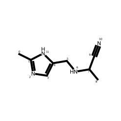 Cc1ncc(CNC(C)C#N)[nH]1